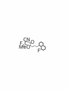 COC(CCCc1cccc2cccc(F)c12)C(=O)C(C#N)C(F)(F)F